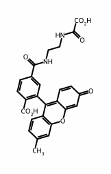 Cc1ccc2c(-c3cc(C(=O)NCCNC(=O)C(=O)O)ccc3C(=O)O)c3ccc(=O)cc-3oc2c1